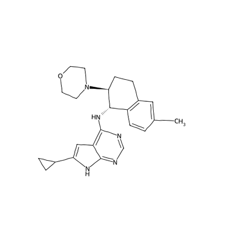 Cc1ccc2c(c1)CC[C@H](N1CCOCC1)[C@H]2Nc1ncnc2[nH]c(C3CC3)cc12